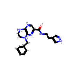 O=C(NCCc1cn[nH]c1)c1cnc2c(n1)N(Cc1ccccc1)CCN2